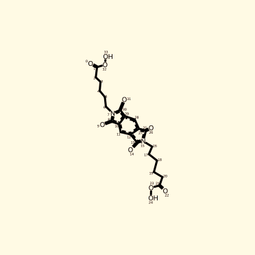 O=C(CCCCCn1c(=O)c2cc3c(=O)n(CCCCCC(=O)OO)c(=O)c3cc2c1=O)OO